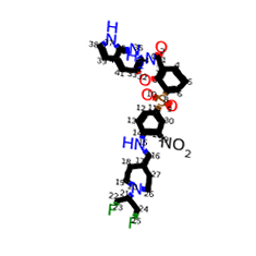 NC(=O)c1cccc(S(=O)(=O)c2ccc(NCC3CCN(C(CF)CF)CC3)c([N+](=O)[O-])c2)c1Oc1cnc2[nH]ccc2c1